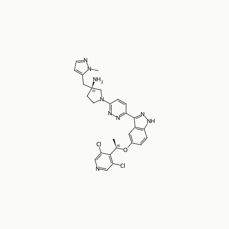 C[C@@H](Oc1ccc2[nH]nc(-c3ccc(N4CC[C@](N)(Cc5ccnn5C)C4)nn3)c2c1)c1c(Cl)cncc1Cl